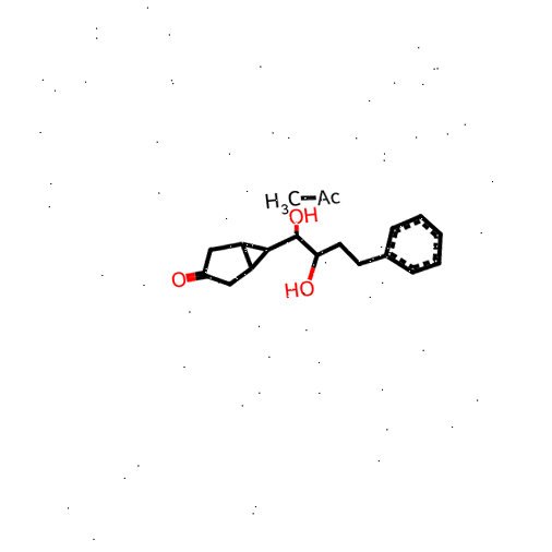 CC(C)=O.O=C1CC2C(C1)C2C(O)C(O)CCc1ccccc1